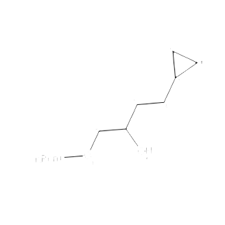 CCCCCOCC(O)CCC1CC1